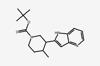 CC1CCN(C(=O)OC(C)(C)C)CC1c1cc2ncccc2[nH]1